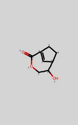 O=C1OCC(O)C2C=C1CC2